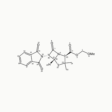 COCOC(=O)[C@@H]1N2C(=O)[C@@H](N3C(=O)c4ccccc4C3=O)[C@H]2SC1(C)C